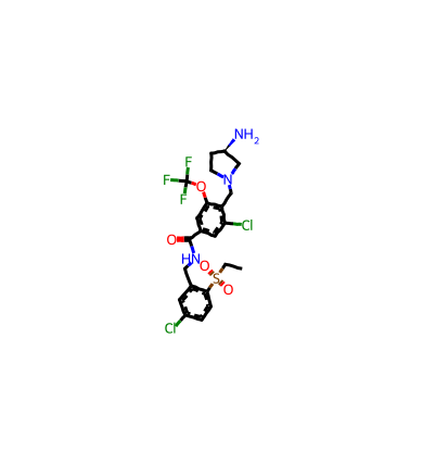 CCS(=O)(=O)c1ccc(Cl)cc1CNC(=O)c1cc(Cl)c(CN2CC[C@@H](N)C2)c(OC(F)(F)F)c1